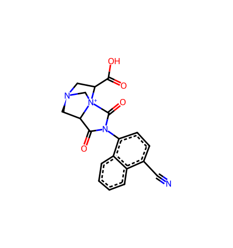 N#Cc1ccc(N2C(=O)C3C[N@@]4CC(C(=O)O)[N+]3(C4)C2=O)c2ccccc12